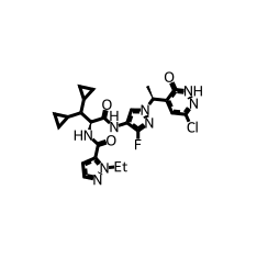 CCn1nccc1C(=O)N[C@H](C(=O)Nc1cn([C@@H](C)c2cc(Cl)n[nH]c2=O)nc1F)C(C1CC1)C1CC1